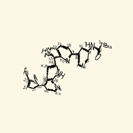 CCCCC(=O)Nc1cncc(-c2ccc3[nH]nc(-c4cc5c(-c6ccc(F)s6)ccnc5[nH]4)c3n2)c1